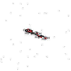 C[C@]12C[C@H](O)C3(F)[C@@H](CCC4=CC(=O)C=C[C@@]43C)C1CCC2C(=O)COC(=O)NC(COC(=O)c1ccc(CCON(O)O)cc1)C(=O)O